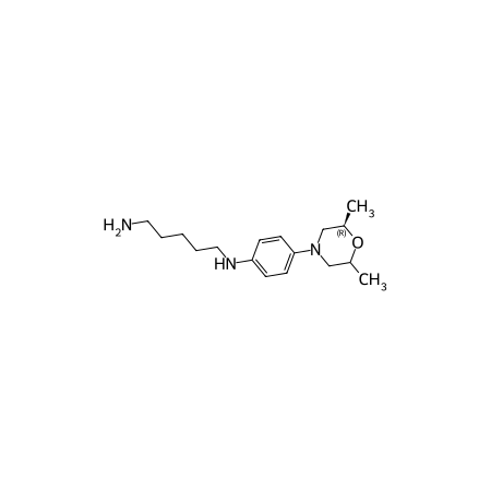 CC1CN(c2ccc(NCCCCCN)cc2)C[C@@H](C)O1